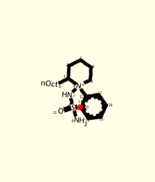 CCCCCCCCC1CCCC[N+]1(NS(N)(=O)=O)c1ccccc1